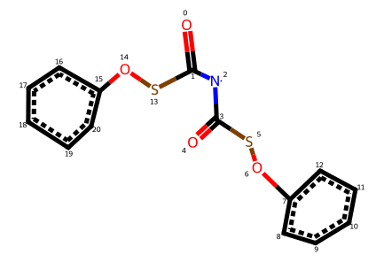 O=C([N]C(=O)SOc1ccccc1)SOc1ccccc1